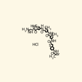 C=C(Br)C(=O)Nc1ccc2sc(C(=O)Nc3cc(C(=O)Nc4cc(C(=O)Nc5cc(C(=O)NCCC(=N)N)n(C)c5)n(C)c4)n(C)c3)cc2c1.Cl